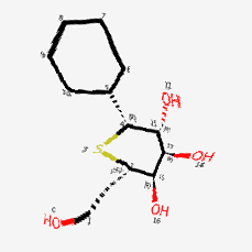 OC[C@@H]1S[C@H](C2[CH]CCCC2)[C@H](O)[C@@H](O)[C@H]1O